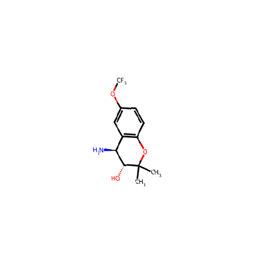 CC1(C)Oc2ccc(OC(F)(F)F)cc2[C@H](N)[C@H]1O